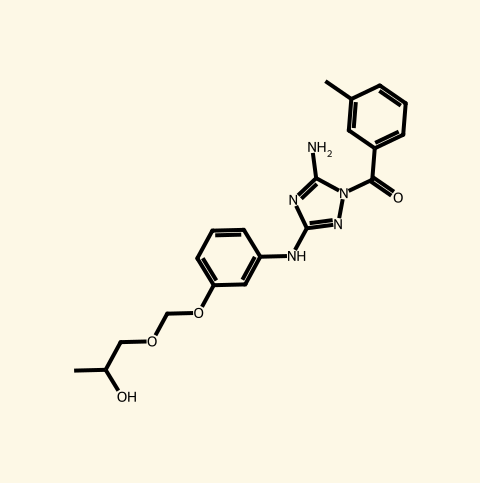 Cc1cccc(C(=O)n2nc(Nc3cccc(OCOCC(C)O)c3)nc2N)c1